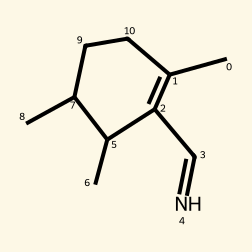 CC1=C(C=N)C(C)C(C)CC1